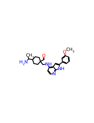 COc1cccc(-c2cc3c(NCC4(C=O)CCC(C(C)N)CC4)ccnc3[nH]2)c1